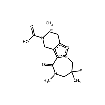 C[C@@H]1Cc2nn3c(c2CN1C(=O)O)C(=O)N(C)CC(C)(F)C3